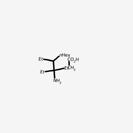 CC(=O)O.CCCCCCC(CC)C(N)(CC)CC